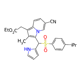 CCOC(=O)Cc1c(C)c(C(c2ccc[nH]2)S(=O)(=O)c2ccc(C(C)C)cc2)n2cc(C#N)ccc12